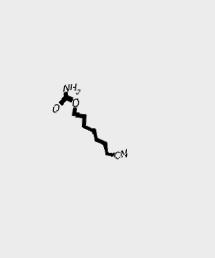 N#CCCCCCCCOC(N)=O